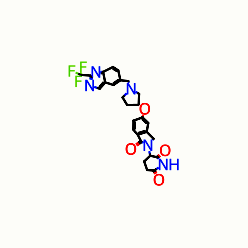 O=C1CCC(N2Cc3cc(OC4CCN(Cc5ccc6nc(C(F)(F)F)ncc6c5)C4)ccc3C2=O)C(=O)N1